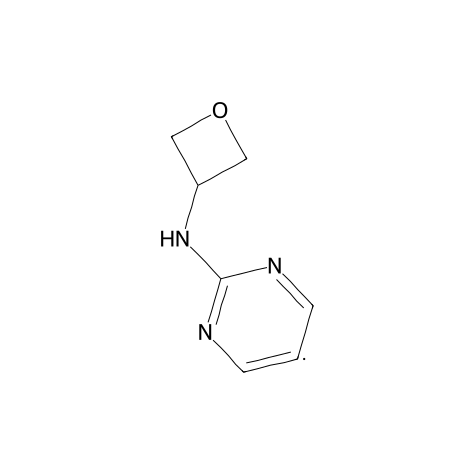 [c]1cnc(NC2COC2)nc1